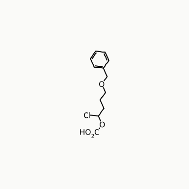 O=C(O)OC(Cl)CCCOCc1ccccc1